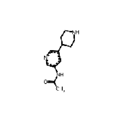 CC(=O)Nc1cncc(C2CCNCC2)c1